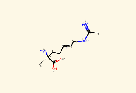 CC(=N)NC/C=C/CC[C@](C)(N)C(=O)O